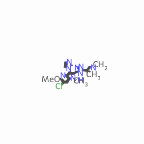 C=NC[C@@H](C)c1nnc(-c2c(-n3ccnc3)c3nc(OC)c(Cl)cc3n2C)[nH]1